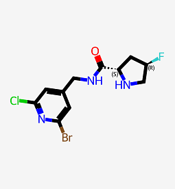 O=C(NCc1cc(Cl)nc(Br)c1)[C@@H]1C[C@@H](F)CN1